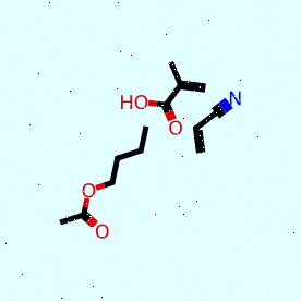 C=C(C)C(=O)O.C=CC#N.CCCCOC(C)=O